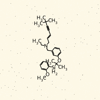 CCN(CC=CC#CC(C)(C)C)Cc1cccc(OC(C)(C)[SiH2]c2ccccc2OC)c1